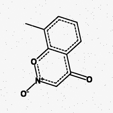 Cc1cccc2c(=O)c[n+]([O-])oc12